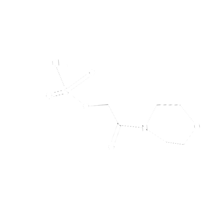 CS(=O)(=O)OCC(=O)N1CCOCC1